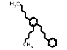 CCCCCc1ccc(CCCCc2[c]cccc2)c(CCCCC)c1